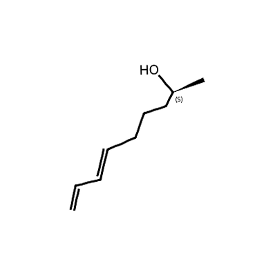 C=CC=CCCC[C@H](C)O